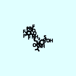 C=CCN1C(=O)C(C(C)C)NC12CCN(C(O)=S)CC2.NC(=O)c1c(F)c(F)c(F)c(F)c1C(=O)NF